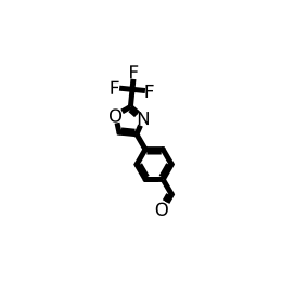 O=Cc1ccc(-c2coc(C(F)(F)F)n2)cc1